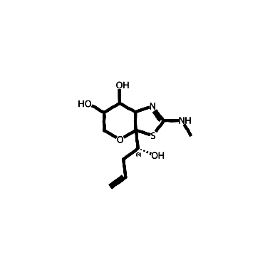 C=CC[C@@H](O)C12OCC(O)C(O)C1N=C(NC)S2